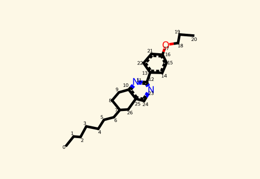 CCCCCCCC1CCc2nc(-c3ccc(OCCC)cc3)ncc2C1